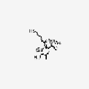 CNC(=O)[C@H](CC(C)CO)N(C(=O)CCCCS)C(C)(C)C